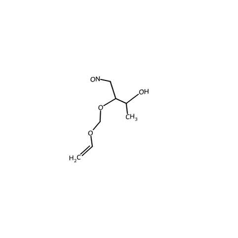 C=COCOC(CN=O)C(C)O